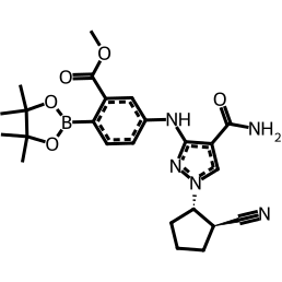 COC(=O)c1cc(Nc2nn([C@H]3CCC[C@@H]3C#N)cc2C(N)=O)ccc1B1OC(C)(C)C(C)(C)O1